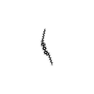 CCCCCCCCCCOc1cnc(-c2ccc(-c3ccc4c(c3)CC(CCCCCCCC)C4)cc2)nc1